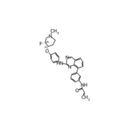 C=CC(=O)Nc1cccc(-c2cccc3cnc(Nc4ccc(O[C@H]5CCN(C)C[C@H]5F)cc4)nc23)c1